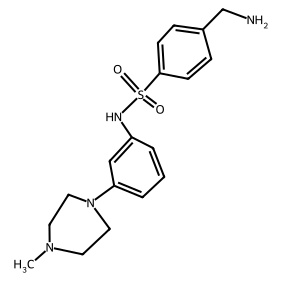 CN1CCN(c2cccc(NS(=O)(=O)c3ccc(CN)cc3)c2)CC1